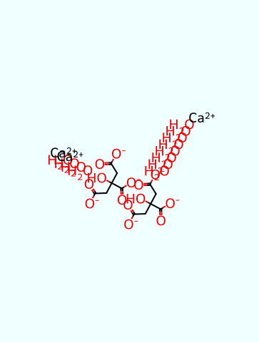 O.O.O.O.O.O.O.O.O.O.O.O.O=C([O-])CC(O)(CC(=O)[O-])C(=O)[O-].O=C([O-])CC(O)(CC(=O)[O-])C(=O)[O-].[Ca+2].[Ca+2].[Ca+2]